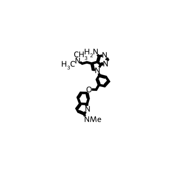 CNc1ccc2ccc(OCc3cccc(-n4cc(CCN(C)C)c5c(N)ncnc54)c3)cc2n1